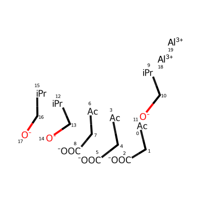 CC(=O)CC(=O)[O-].CC(=O)CC(=O)[O-].CC(=O)CC(=O)[O-].CC(C)C[O-].CC(C)C[O-].CC(C)C[O-].[Al+3].[Al+3]